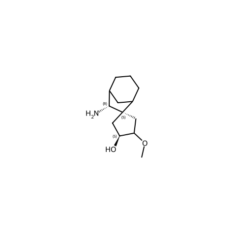 COC1C[C@@]2(C[C@@H]1O)C1CCCC(C1)[C@H]2N